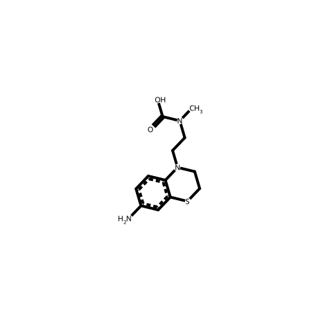 CN(CCN1CCSc2cc(N)ccc21)C(=O)O